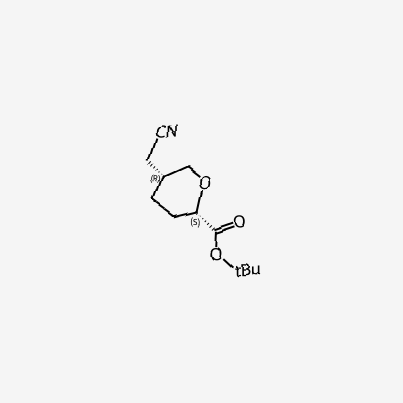 CC(C)(C)OC(=O)[C@@H]1CC[C@H](CC#N)CO1